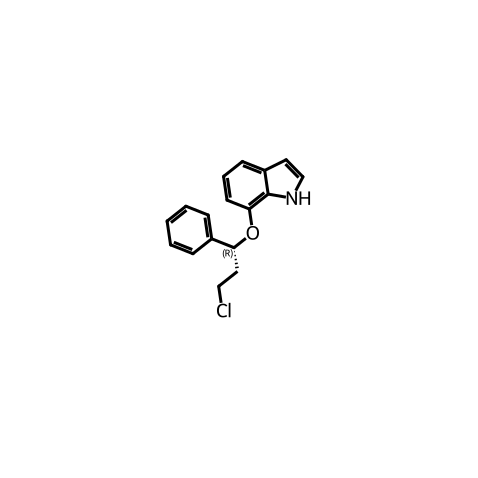 ClCC[C@@H](Oc1cccc2cc[nH]c12)c1ccccc1